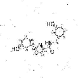 O=C(NCc1cccc(O)c1)c1coc(-c2cccc(O)c2)n1